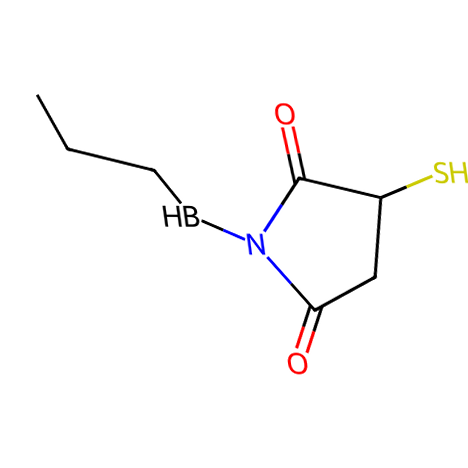 CCCBN1C(=O)CC(S)C1=O